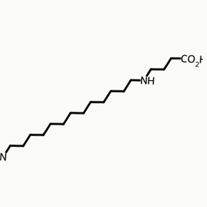 CNCCCCCCCCCCCCCNCCCC(=O)O